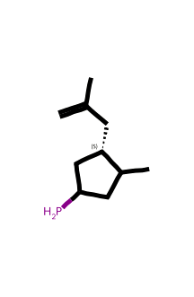 C=C(C)C[C@H]1CC(P)CC1C